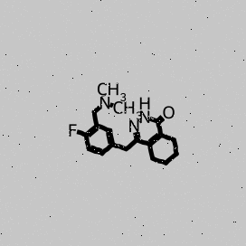 CN(C)Cc1cc(Cc2n[nH]c(=O)c3c2CCCC3)ccc1F